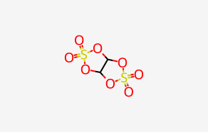 O=S1(=O)OC2OS(=O)(=O)OC2O1